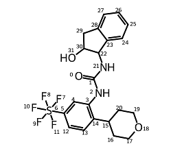 O=C(Nc1cc(S(F)(F)(F)(F)F)ccc1C1CCOCC1)NC1c2ccccc2CC1O